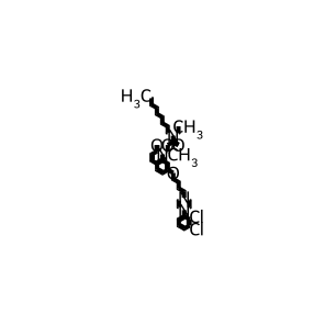 CCCCCCCCCN(CC)C(=O)OC(C)n1c(=O)ccc2ccc(OCCCCN3CCN(c4cccc(Cl)c4Cl)CC3)cc21